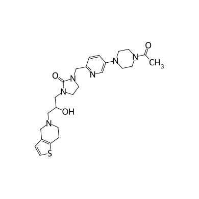 CC(=O)N1CCN(c2ccc(CN3CCN(CC(O)CN4CCc5sccc5C4)C3=O)nc2)CC1